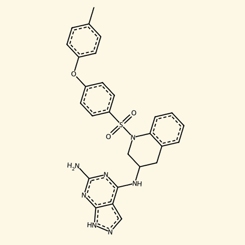 Cc1ccc(Oc2ccc(S(=O)(=O)N3CC(Nc4nc(N)nc5[nH]ncc45)Cc4ccccc43)cc2)cc1